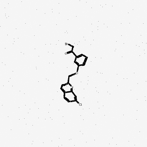 O=C(CBr)c1cccc(OCc2ccc3ccc(Cl)cc3n2)c1